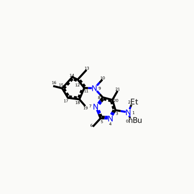 CCCCN(CC)c1nc(C)nc(N(C)c2c(C)cc(C)cc2C)c1C